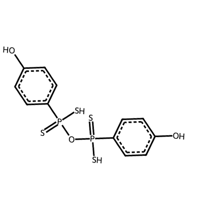 Oc1ccc(P(=S)(S)OP(=S)(S)c2ccc(O)cc2)cc1